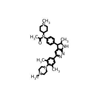 CC(=O)N(c1ccc(C2c3cc(-c4cc(C)c(N5CCN(C)CC5)c(C)c4)nnc3NC2C)cc1)C1CCN(C)CC1